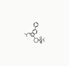 CC(C)Cn1cc(C2CCCN(S(=O)(=O)C(C)C)C2)c2ccc(-c3ccccc3)cc21